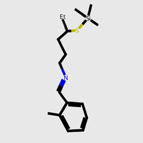 CCC(CCCN=Cc1ccccc1C)S[Si](C)(C)C